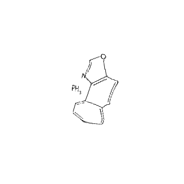 P.c1ccc2c(c1)ccc1ocnc12